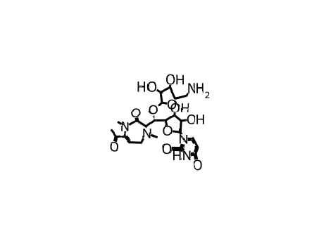 CC(=O)C1=CCN(C)[C@@H]([C@H](OC2OC(CN)C(O)C2O)C2OC(n3ccc(=O)[nH]c3=O)C(O)C2O)C(=O)N1C